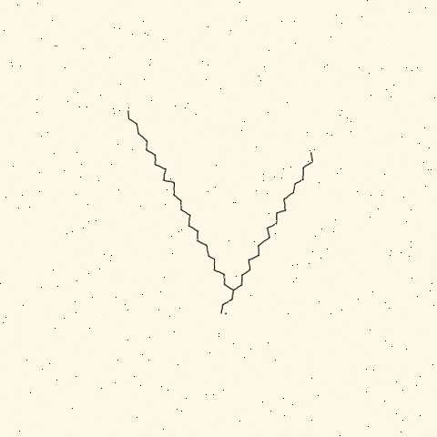 [CH2]CCC(CCCCCCCCCCCCCCCCCC)CCCCCCCCCCCCCCCCCCCCCCCC